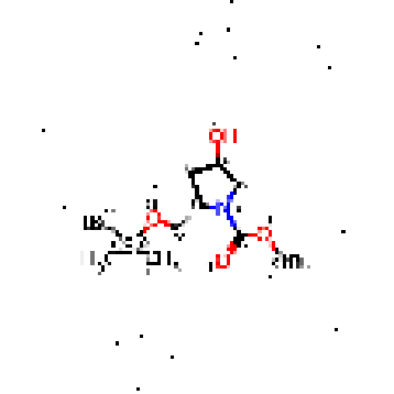 CC(C)(C)OC(=O)N1CC(O)C[C@H]1CO[Si](C)(C)C(C)(C)C